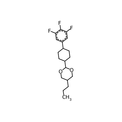 CCCC1COC(C2CCC(c3cc(F)c(F)c(F)c3)CC2)OC1